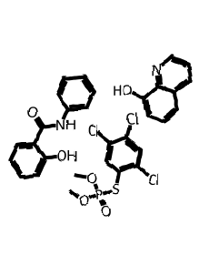 COP(=O)(OC)Sc1cc(Cl)c(Cl)cc1Cl.O=C(Nc1ccccc1)c1ccccc1O.Oc1cccc2cccnc12